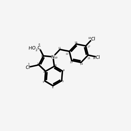 O=C(O)c1c(Cl)c2ccccc2n1Cc1ccc(Cl)c(Cl)c1